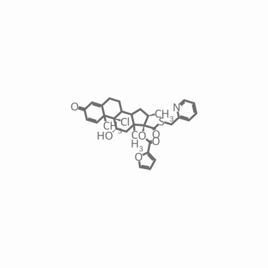 C[C@@H]1CC2C3CCC4=CC(=O)C=CC4(C)[C@@]3(Cl)[C@@H](O)CC2(C)[C@@]1(OC(=O)c1ccco1)C(=O)SCc1ccccn1